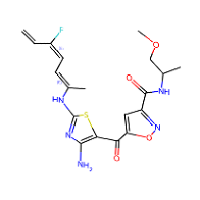 C=C/C(F)=C\C=C(/C)Nc1nc(N)c(C(=O)c2cc(C(=O)NC(C)COC)no2)s1